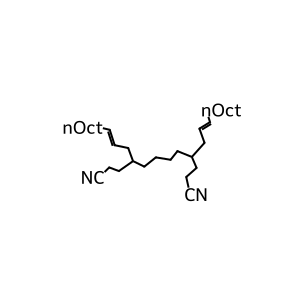 CCCCCCCCC=CCC(CCC#N)CCCCC(C/C=C/CCCCCCCC)CCC#N